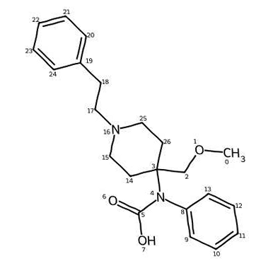 COCC1(N(C(=O)O)c2ccccc2)CCN(CCc2ccccc2)CC1